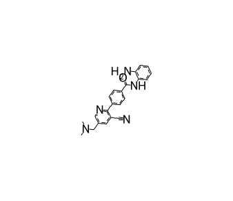 CN(C)Cc1cnc(-c2ccc(C(=O)Nc3ccccc3N)cc2)c(C#N)c1